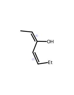 C/C=C(O)\C=C/CC